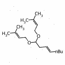 CCCCC=CCC(OCC=C(C)C)OCC=C(C)C